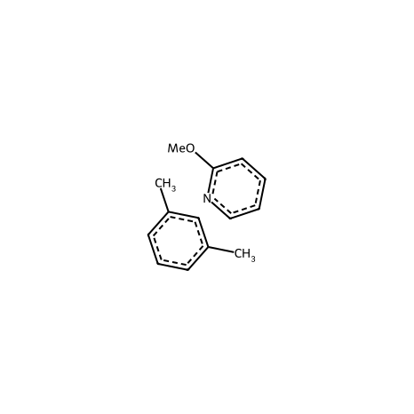 COc1ccccn1.Cc1cccc(C)c1